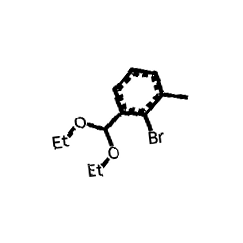 CCOC(OCC)c1cccc(C)c1Br